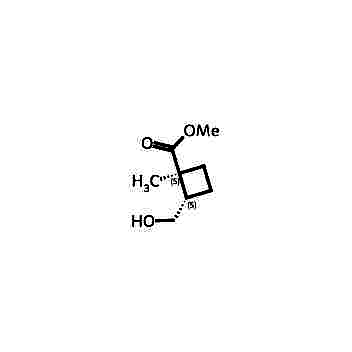 COC(=O)[C@@]1(C)CC[C@@H]1CO